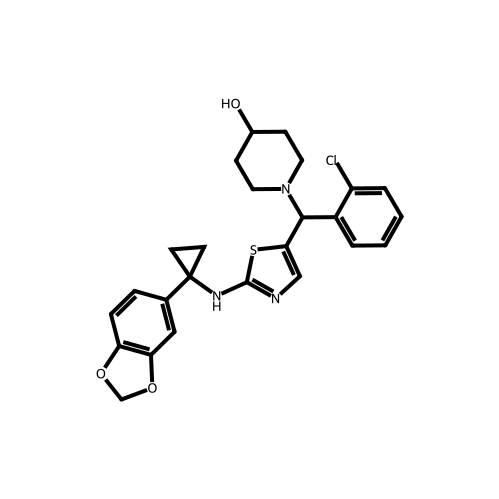 OC1CCN(C(c2cnc(NC3(c4ccc5c(c4)OCO5)CC3)s2)c2ccccc2Cl)CC1